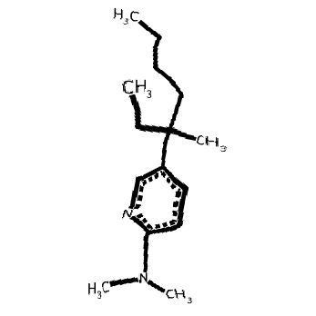 CCCCC(C)(CC)c1ccc(N(C)C)nc1